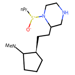 CCC[S+]([O-])N1CCNCC1CC[C@H]1CCCC1NC